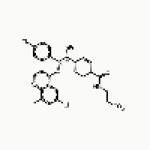 CCC[C@H](C1=CCC(C(=O)NCCC(=O)O)C=C1)[C@@H](Oc1ccnc2c(C)cc(Cl)cc12)c1ccc(Cl)cc1